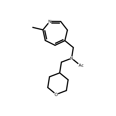 CC(=O)N(CC1=CC=C(C)N=CC1)CC1CCOCC1